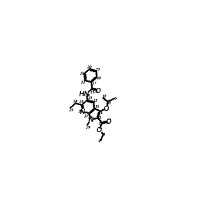 CCOC(=O)c1c(OC(C)C)c2cc(NC(=O)c3ccccc3)c(CC)nc2n1C